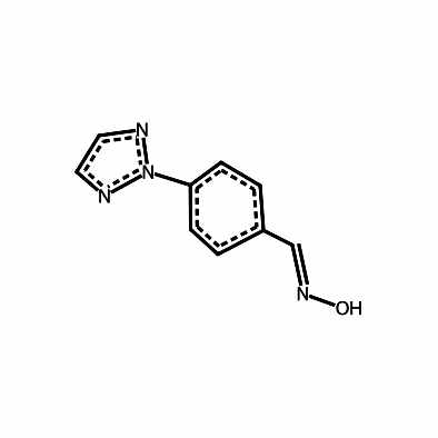 ON=Cc1ccc(-n2nccn2)cc1